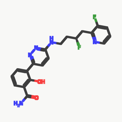 NC(=O)c1cccc(-c2ccc(NCC[C@H](F)Cc3ncccc3F)nn2)c1O